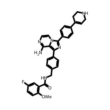 COc1ccc(F)cc1C(=O)NCc1ccc(-c2nc(-c3ccc(C4=CCNCC4)cc3)n3ccnc(N)c23)cc1